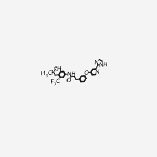 CN(C)Cc1ccc(NC(=O)CCc2cccc(Oc3ccnc(C4=NCCN4)c3)c2)cc1C(F)(F)F